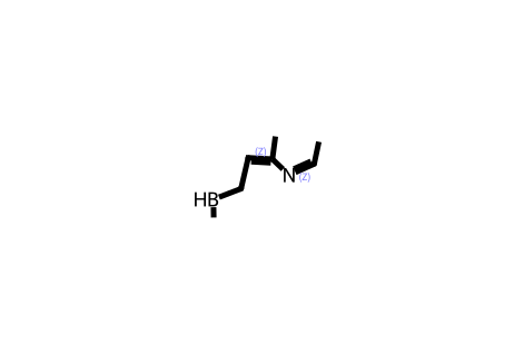 CBC/C=C(C)\N=C/C